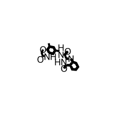 Cc1cc(CNC(=O)c2nc3ccccc3c(=O)[nH]2)cc2c1OCC(=O)N2